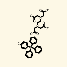 O=C([O-])CN(CCN(CC(=O)[O-])CC(=O)[O-])CC(=O)[O-].[Cu+3].c1ccc([P+](c2ccccc2)(c2ccccc2)c2ccccc2)cc1